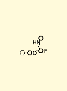 Fc1ccc(COc2ccc(C3CCCCC3)cc2)c(CCNc2ccccc2)c1